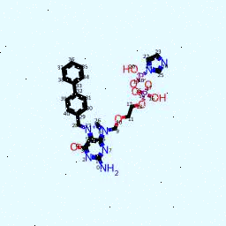 Nc1nc([O-])c2c(n1)n(COCCOP(=O)(O)OP(=O)(O)n1ccnc1)c[n+]2Cc1ccc(-c2ccccc2)cc1